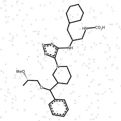 CO[C@@H](C)COC(c1ccccc1)C1CCCN(c2nsnc2NC(CNC(=O)O)CC2CCCCC2)C1